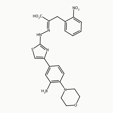 Bc1cc(-c2csc(N/N=C(/Cc3ccccc3[N+](=O)[O-])C(=O)O)n2)ccc1N1CCOCC1